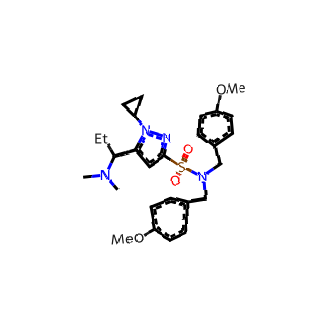 CCC(c1cc(S(=O)(=O)N(Cc2ccc(OC)cc2)Cc2ccc(OC)cc2)nn1C1CC1)N(C)C